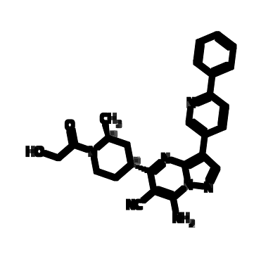 C[C@H]1C[C@H](c2nc3c(-c4ccc(-c5ccccc5)nc4)cnn3c(N)c2C#N)CCN1C(=O)CO